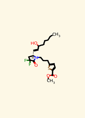 CCCCCC(O)C=C[C@H]1CC(F)(F)C(=O)N1CCCc1ccc(C(=O)OC)s1